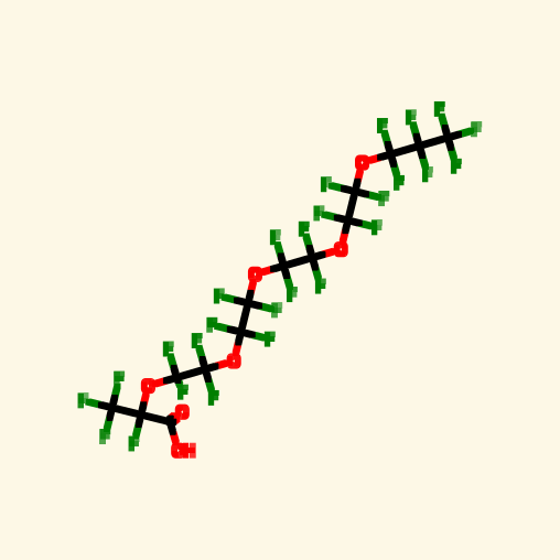 O=C(O)C(F)(OC(F)(F)C(F)(F)OC(F)(F)C(F)(F)OC(F)(F)C(F)(F)OC(F)(F)C(F)(F)OC(F)(F)C(F)(F)C(F)(F)F)C(F)(F)F